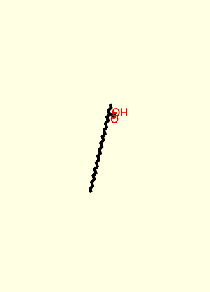 CCCCCCCCCCCCCCCCCCCCCCCCC(CCC)C(=O)O